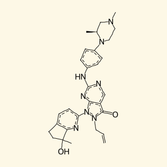 C=CCn1c(=O)c2cnc(Nc3ccc(N4CCN(C)C[C@@H]4C)cc3)nc2n1-c1ccc2c(n1)C(C)(O)CC2